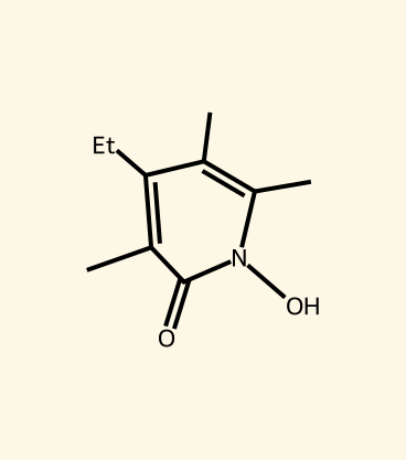 CCc1c(C)c(C)n(O)c(=O)c1C